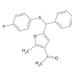 CC(=O)c1cc(C(Sc2ccc(F)cc2)c2ccccc2)oc1C